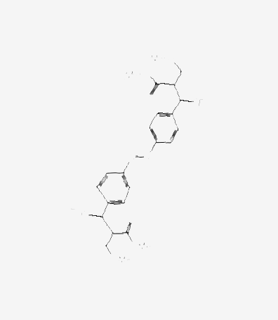 COCC(C(=O)OC)C(c1ccc(SSc2ccc(C(C(COC)C(=O)OC)C(F)(F)F)cc2)cc1)C(F)(F)F